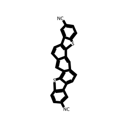 [C-]#[N+]c1ccc2sc3c4cc5ccc6c7cc(C#N)ccc7sc6c5cc4ccc3c2c1